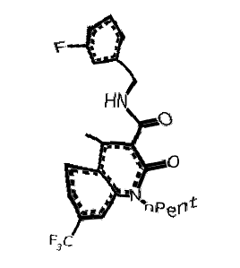 CCCCCn1c(=O)c(C(=O)NCc2cccc(F)c2)c(C)c2ccc(C(F)(F)F)cc21